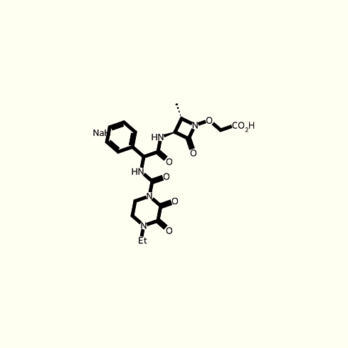 CCN1CCN(C(=O)NC(C(=O)N[C@@H]2C(=O)N(OCC(=O)O)[C@H]2C)c2ccccc2)C(=O)C1=O.[NaH]